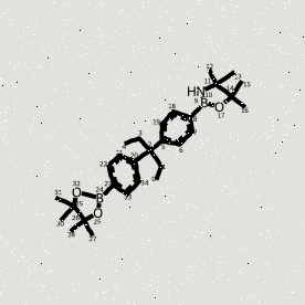 CCC(CC)(c1ccc(B2NC(C)(C)C(C)(C)O2)cc1)c1ccc(B2OC(C)(C)C(C)(C)O2)cc1